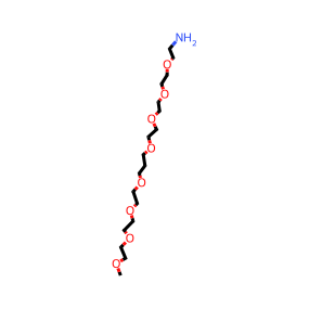 COCCOCCOCCOCCCOCCOCCOCCOCCN